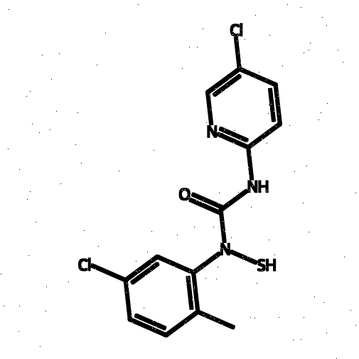 Cc1ccc(Cl)cc1N(S)C(=O)Nc1ccc(Cl)cn1